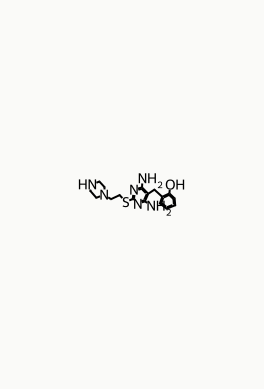 Nc1nc(SCCN2CCNCC2)nc(N)c1Cc1ccccc1O